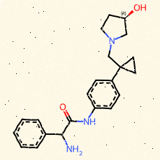 NC(C(=O)Nc1ccc(C2(CN3CC[C@@H](O)C3)CC2)cc1)c1ccccc1